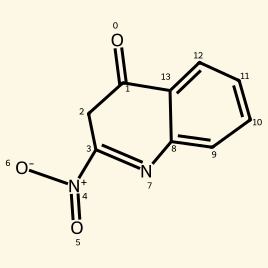 O=C1CC([N+](=O)[O-])=Nc2ccccc21